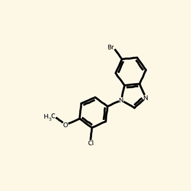 COc1ccc(-n2cnc3ccc(Br)cc32)cc1Cl